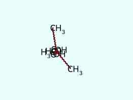 CCCCCCCCC=CCCCCCCCC(=O)C(O)C(O)(C(=O)CCCCCCCCCCCCCCCCC)C(O)C(C)=O